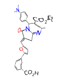 CCOC(=O)C1=C(C)N=C2C/C(=C\c3ccc(-c4cccc(C(=O)O)c4)o3)C(=O)N2C1c1ccc(N(C)C)cc1